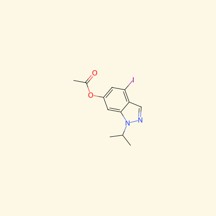 CC(=O)Oc1cc(I)c2cnn(C(C)C)c2c1